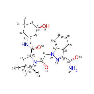 CC1(C)C[C@@H](O)C[C@H](NC(=O)[C@@H]2C[C@H]3C[C@H]3N2C(=O)Cn2nc(C(N)=O)c3ccccc32)C1